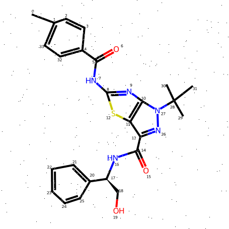 Cc1ccc(C(=O)Nc2nc3c(s2)c(C(=O)N[C@@H](CO)c2ccccc2)nn3C(C)(C)C)cc1